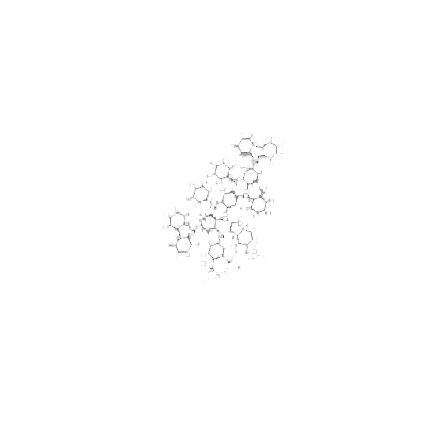 CC(C)(C)c1ccc2sc3c(c2c1)N(c1ccc2c(c1)C(C)(C)CCC2(C)C)c1nc(-n2c4ccccc4c4ccccc42)nc2c1B3c1cc3c(cc1N2c1ccccc1)N(c1ccccc1)c1cc(-n2c4ccccc4c4ccccc42)cc2c1B3c1ccccc1O2